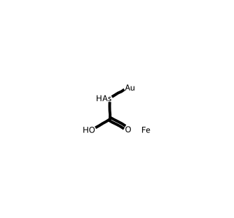 O=C(O)[AsH][Au].[Fe]